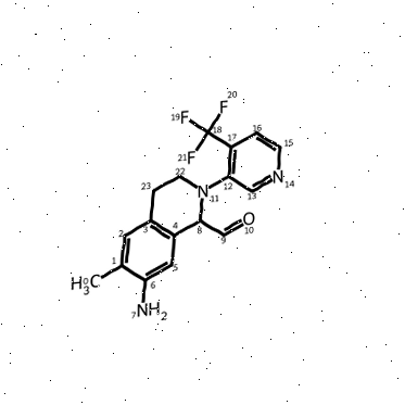 Cc1cc2c(cc1N)C(C=O)N(c1cnccc1C(F)(F)F)CC2